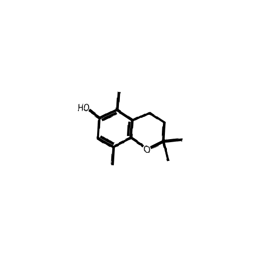 Cc1cc(O)c(C)c2c1OC(C)(C)CC2